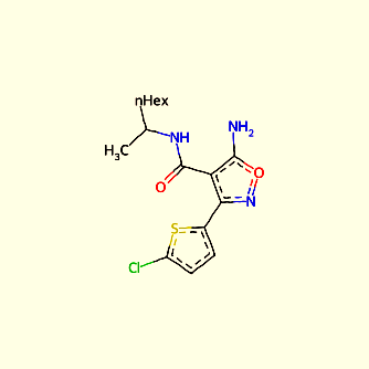 CCCCCCC(C)NC(=O)c1c(-c2ccc(Cl)s2)noc1N